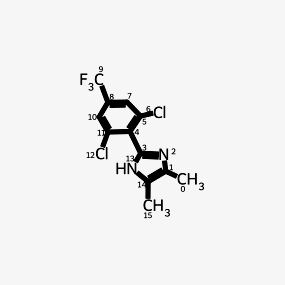 Cc1nc(-c2c(Cl)cc(C(F)(F)F)cc2Cl)[nH]c1C